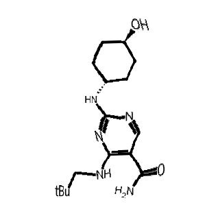 CC(C)(C)CNc1nc(N[C@H]2CC[C@H](O)CC2)ncc1C(N)=O